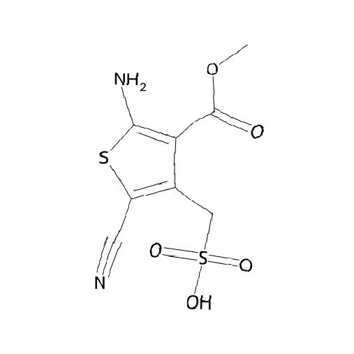 COC(=O)c1c(N)sc(C#N)c1CS(=O)(=O)O